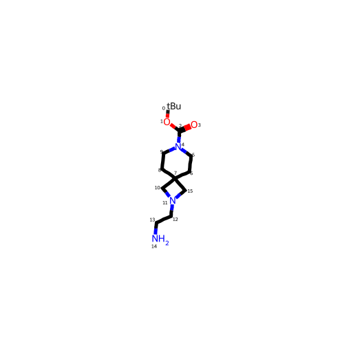 CC(C)(C)OC(=O)N1CCC2(CC1)CN(CCN)C2